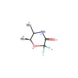 CC(C)(C)C1NC(=O)C(F)(F)O[C@H]1C(C)(C)C